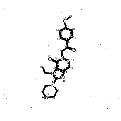 CCn1c(N2CCNCC2)nc2cnn(CC(=O)c3ccc(OC)cc3)c(=O)c21